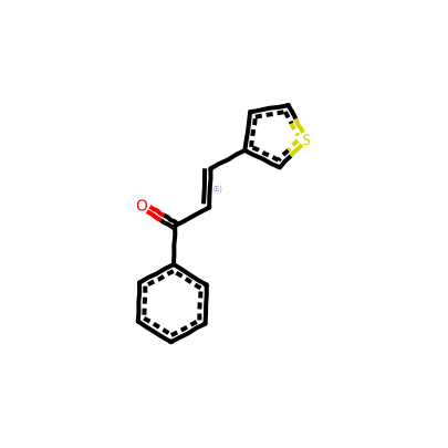 O=C(/C=C/c1ccsc1)c1ccccc1